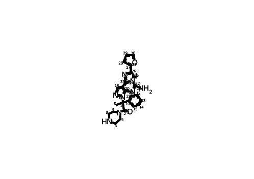 CC(C(=O)N1CCNCC1)(c1ccccc1)n1ncc2c1nc(N)n1nc(-c3ccco3)nc21